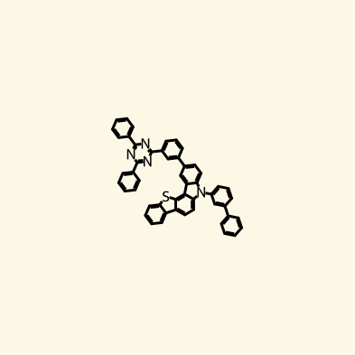 c1ccc(-c2cccc(-n3c4ccc(-c5cccc(-c6nc(-c7ccccc7)nc(-c7ccccc7)n6)c5)cc4c4c5sc6ccccc6c5ccc43)c2)cc1